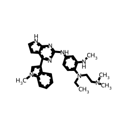 CCN(CCN(C)C)c1ccc(Nc2nc(-c3cn(C)c4ccccc34)c3cc[nH]c3n2)cc1NC